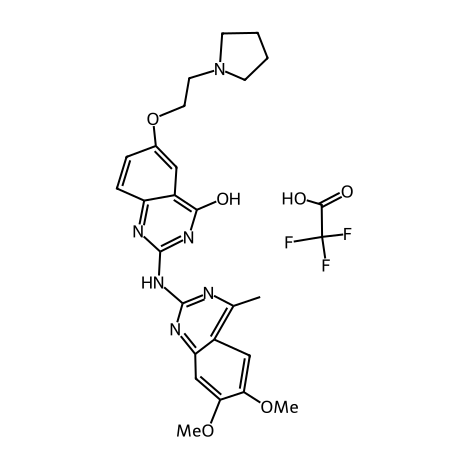 COc1cc2nc(Nc3nc(O)c4cc(OCCN5CCCC5)ccc4n3)nc(C)c2cc1OC.O=C(O)C(F)(F)F